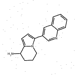 NC1CCCn2c(-c3cnc4ccccc4c3)ccc21